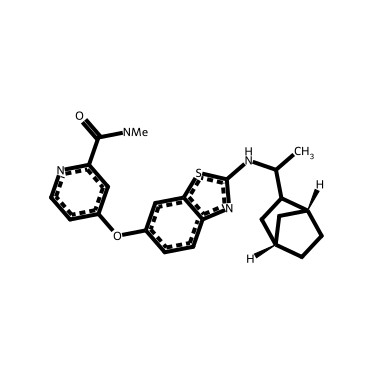 CNC(=O)c1cc(Oc2ccc3nc(NC(C)C4C[C@H]5CC[C@@H]4C5)sc3c2)ccn1